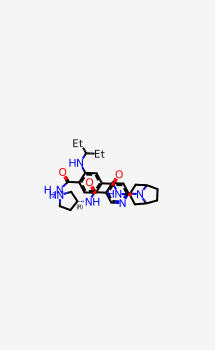 CCC(CC)Nc1cc(C(=O)NC2CC3CCC(C2)N3c2ccc(C(=O)N[C@@H]3CCNC3)cn2)ccc1C(N)=O